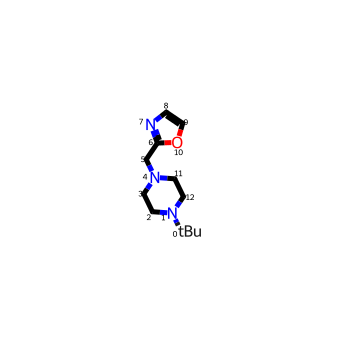 CC(C)(C)N1CCN(Cc2ncco2)CC1